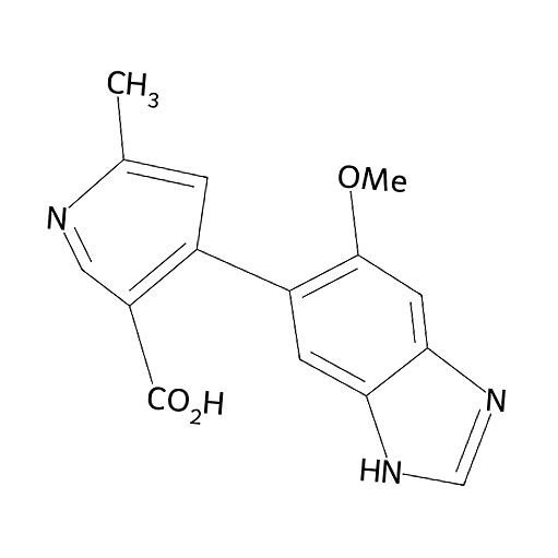 COc1cc2nc[nH]c2cc1-c1cc(C)ncc1C(=O)O